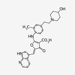 Cc1cc(CCN2CCC(O)CC2)ccc1NC1=C(C(=O)O)C(=O)C(=Cc2c[nH]c3ncccc23)O1